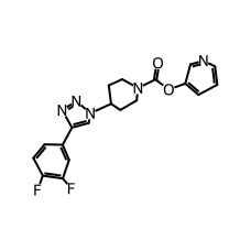 O=C(Oc1cccnc1)N1CCC(n2cc(-c3ccc(F)c(F)c3)nn2)CC1